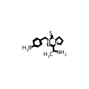 Bc1ccc(CNC(=S)[C@@H]2CCCN2C(=O)[C@H](C)N)cc1